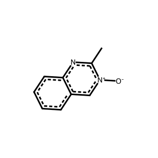 Cc1nc2ccccc2c[n+]1[O-]